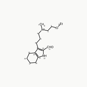 CCOCCN(C)CCCc1c(C=O)[nH]c2c1CCCC2